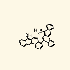 Bc1c2ccccc2cc2c1ccc1c(-c3cc4c(B)c5ccccc5cc4c4ccccc34)cccc12